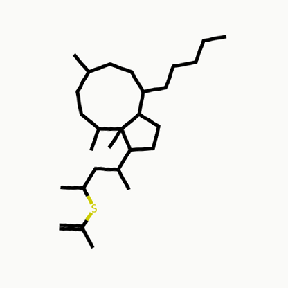 C=C(C)SC(C)CC(C)C1CCC2C(CCCCC)CCC(C)CCC(C)C12C